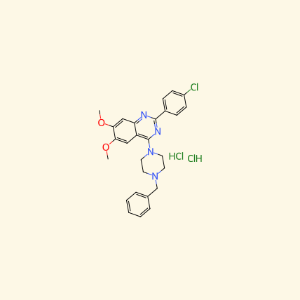 COc1cc2nc(-c3ccc(Cl)cc3)nc(N3CCN(Cc4ccccc4)CC3)c2cc1OC.Cl.Cl